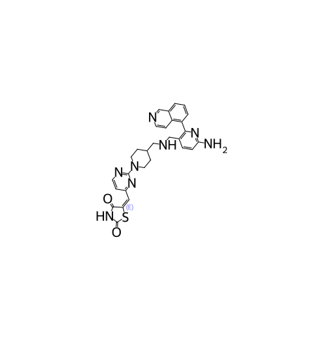 Nc1ccc(CNCC2CCN(c3nccc(/C=C4/SC(=O)NC4=O)n3)CC2)c(-c2cccc3cnccc23)n1